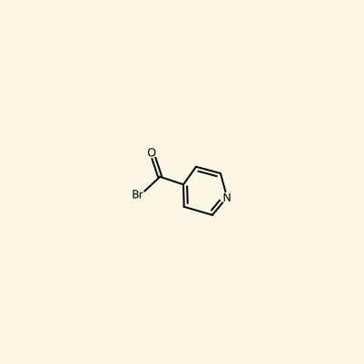 O=C(Br)c1ccncc1